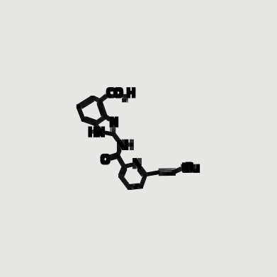 CC(C)(C)C#Cc1cccc(C(=O)Nc2nc3c(C(=O)O)cccc3[nH]2)n1